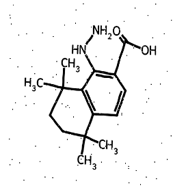 CC1(C)CCC(C)(C)c2c1ccc(C(=O)O)c2NN